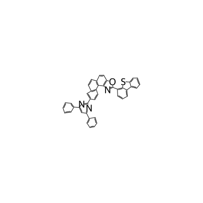 c1ccc(-c2cc(-c3ccccc3)nc(-c3ccc4c(ccc5ccc6oc(-c7cccc8c7sc7ccccc78)nc6c54)c3)n2)cc1